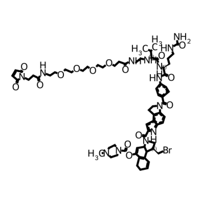 CC(C)[C@H](NCCNC(=O)CCOCCOCCOCCOCCNC(=O)CCN1C(=O)C=CC1=O)C(=O)N[C@@H](CCCNC(N)=O)C(=O)Nc1ccc(C(=O)N2CCc3c2ccc2[nH]c(C(=O)N4C[C@@H](CBr)C5C6=C(CCC=C6)C(OC(=O)N6CCN(C)CC6)=CC54)cc32)cc1